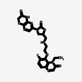 CCn1c(=O)cnc2ccc(F)c(OCCNCC3CN(c4cnc5c(n4)NC(=O)CO5)C(=O)O3)c21